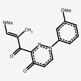 CN/C=C(\C)C(=O)c1nn(-c2cccc(OC)c2)ccc1=O